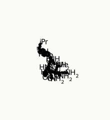 CSCC[C@H](NC(=O)O[C@H]1CC[C@@]2(C)C(=CC[C@H]3C4CC[C@H]([C@H](C)CCCC(C)C)[C@@]4(C)CC[C@@H]32)C1)C(=O)NCC(=O)N[C@@H](Cc1ccc(O)cc1)C(=O)N[C@@H](CCC(N)=O)C(=O)N[C@@H](CCCCN)C(=O)N[C@@H](CCCCN)C(N)=O